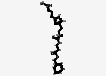 CC(C)NCCCn1cc(CCNC(=O)SCCC(=O)OCc2ccccc2)nn1